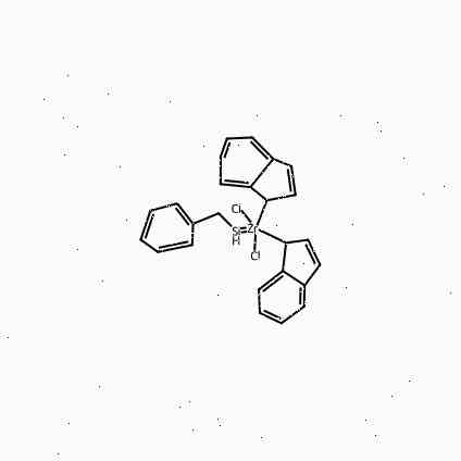 [Cl][Zr]([Cl])(=[SiH]Cc1ccccc1)([CH]1C=Cc2ccccc21)[CH]1C=Cc2ccccc21